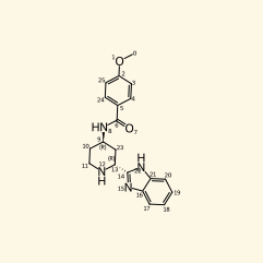 COc1ccc(C(=O)N[C@@H]2CCN[C@@H](c3nc4ccccc4[nH]3)C2)cc1